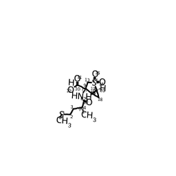 CSCC[C@@H](C)C(=O)N[C@@]1(C(=O)O)CS(=O)(=O)[C@H]2C[C@H]21